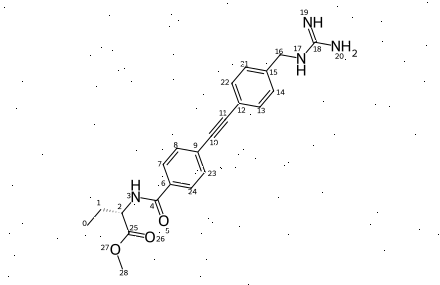 CC[C@H](NC(=O)c1ccc(C#Cc2ccc(CNC(=N)N)cc2)cc1)C(=O)OC